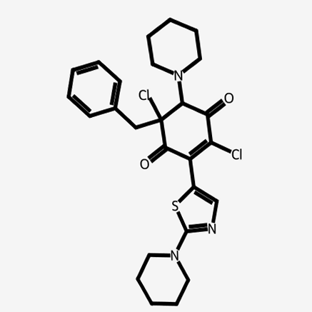 O=C1C(Cl)=C(c2cnc(N3CCCCC3)s2)C(=O)C(Cl)(Cc2ccccc2)C1N1CCCCC1